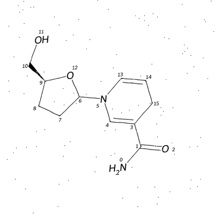 NC(=O)C1=CN(C2CC[C@@H](CO)O2)C=CC1